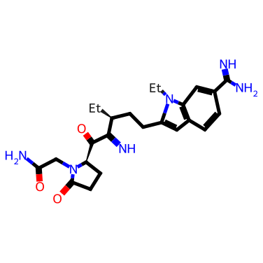 CC[C@@H](CCc1cc2ccc(C(=N)N)cc2n1CC)C(=N)C(=O)[C@H]1CCC(=O)N1CC(N)=O